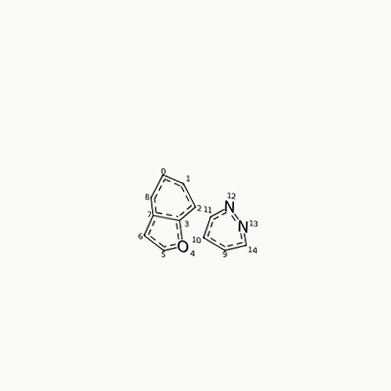 c1ccc2occc2c1.c1ccnnc1